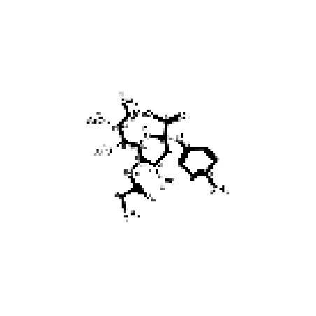 COC(=O)[C@@]1(Sc2ccc(C)cc2)C[C@H](OC(C)=O)[C@@H](NC(=O)COC(C)=O)[C@H]([C@H](OC(C)=O)[C@@H](COC(C)=O)OC(C)=O)O1